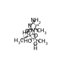 CC#C[C@@]1(O)C(O)[C@@H]([C@H](C)O)O[C@H]1n1c(C)cc(N)nc1=O